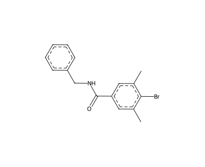 Cc1cc(C(=O)NCc2ccccc2)cc(C)c1Br